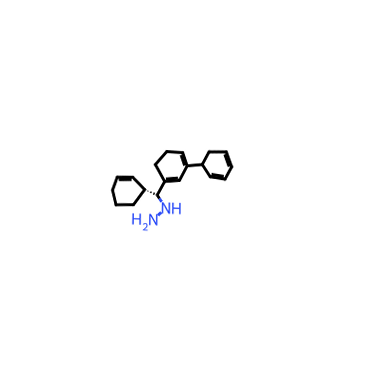 NNC(C1=CC(C2C=CC=CC2)=CCC1)[C@H]1C=CCCC1